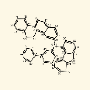 c1ccc(-c2cccc(N(c3ccc4ccc5c6ccccc6ccc5c4c3)c3cccc4sc5ccccc5c34)c2)cc1